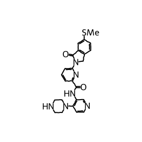 CSc1ccc2c(c1)C(=O)N(c1cccc(C(=O)Nc3cnccc3N3CCNCC3)n1)C2